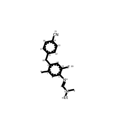 CCN(C)C=Nc1cc(C)c(Cc2ccc(C#N)cc2)cc1F